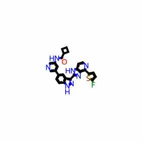 O=C(Nc1cncc(-c2ccc3[nH]nc(-c4nc5c(-c6ccc(F)s6)nccc5[nH]4)c3c2)c1)C1CCC1